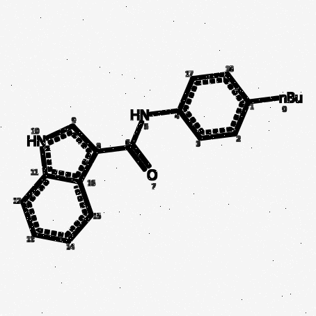 CCCCc1ccc(NC(=O)c2c[nH]c3ccccc23)cc1